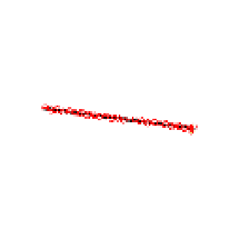 COCCOCCOCCOCCOCCOCCOCCOCCOCCOCCOCCOCCOCCOCCOCCOCCOCCOCCOCCOCCOCCOCCOCCOCCOS(C)(=O)=O